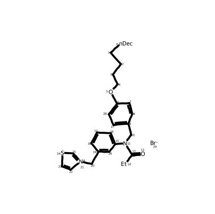 CCCCCCCCCCCCCCOc1ccc(CN(C(=O)CC)c2cccc(C[n+]3ccsc3)c2)cc1.[Br-]